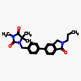 CCCN1Cc2cc(-c3ccc(CN4C(=O)N(C)C(=O)C4(C)C)cc3)ccc2C1=O